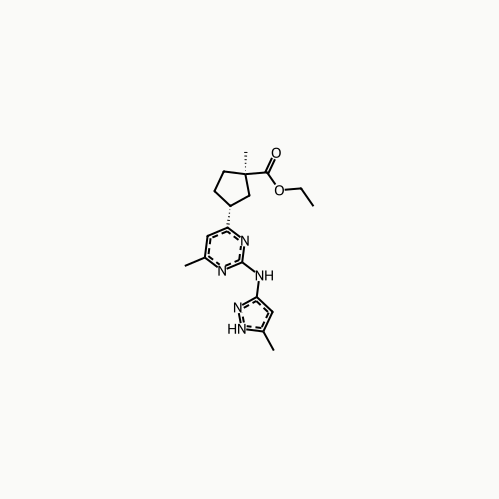 CCOC(=O)[C@]1(C)CC[C@@H](c2cc(C)nc(Nc3cc(C)[nH]n3)n2)C1